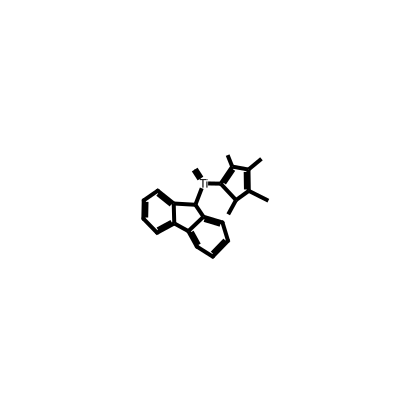 [CH2]=[Ti]([C]1=C(C)C(C)=C(C)C1C)[CH]1c2ccccc2-c2ccccc21